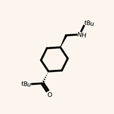 CC(C)(C)NC[C@H]1CC[C@H](C(=O)C(C)(C)C)CC1